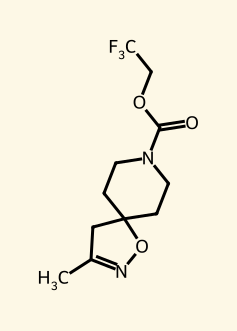 CC1=NOC2(CCN(C(=O)OCC(F)(F)F)CC2)C1